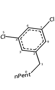 [CH2]CCCCCc1cc(Cl)cc(Cl)c1